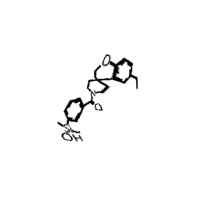 CCc1ccc2c(c1)C1(CCN(C(=O)c3cccc([Si](C)(C)O)c3)CC1)CO2